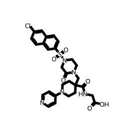 O=C(O)CNC(=O)C1(CN2CCN(S(=O)(=O)c3ccc4cc(Cl)ccc4c3)CC2=O)CCN(c2ccncc2)CC1